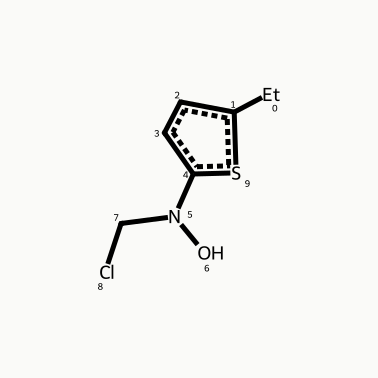 CCc1ccc(N(O)CCl)s1